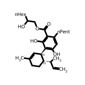 C=CC(C)[C@@H]1CCC(C)=C[C@H]1c1c(O)cc(CCCCC)c(C(=O)OCC(O)CCCCCC)c1O